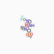 CC1(S(=O)(=O)c2ccc(C(=O)Nc3cccn(C4CC(F)(F)C4)c3=O)c(N3CC[Si](C)(C)CC3)c2)CC1